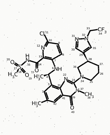 Cc1cc([C@@H](C)Nc2ccc(Cl)nc2C(=O)NS(C)(=O)=O)c2nc(N3CCC[C@H](c4cnn(CC(F)(F)F)c4)C3)n(C)c(=O)c2c1